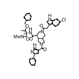 CNC(=O)[C@@H](NC(=O)C1CN(C(=O)Cc2c[nH]c3cc(Cl)ccc23)CC2CN(C(=O)c3cc(-c4ccccc4)n[nH]3)CC21)[C@@H](C)OCc1ccccc1